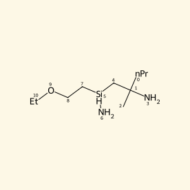 CCCC(C)(N)C[SiH](N)CCOCC